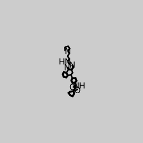 O=S(=O)(Nc1ccc(C2Cc3cnc(NCCCN4CCCC4)nc3-c3ccccc32)cc1)c1ccccc1